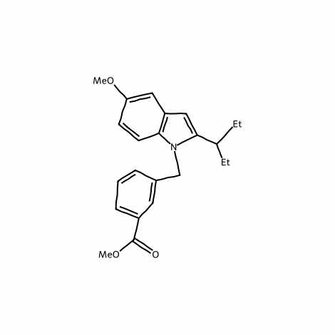 CCC(CC)c1cc2cc(OC)ccc2n1Cc1cccc(C(=O)OC)c1